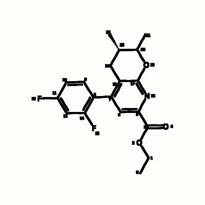 CCOC(=O)c1cc(-c2ccc(F)cc2F)c2c(n1)OC(C)[C@@H](C)C2